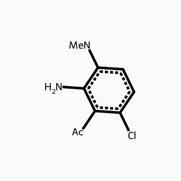 CNc1ccc(Cl)c(C(C)=O)c1N